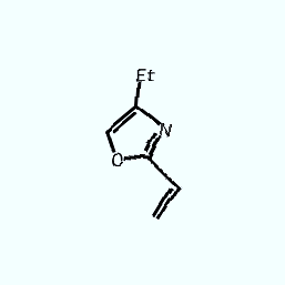 C=Cc1nc(CC)co1